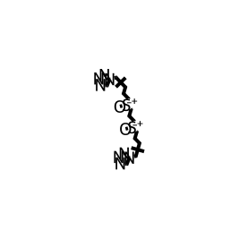 CC(C)(CCC[S+]([O-])CCC[S+]([O-])CCCC(C)(C)Cn1cnnn1)Cn1cnnn1